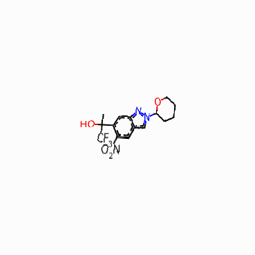 CC(O)(c1cc2nn(C3CCCCO3)cc2cc1[N+](=O)[O-])C(F)(F)F